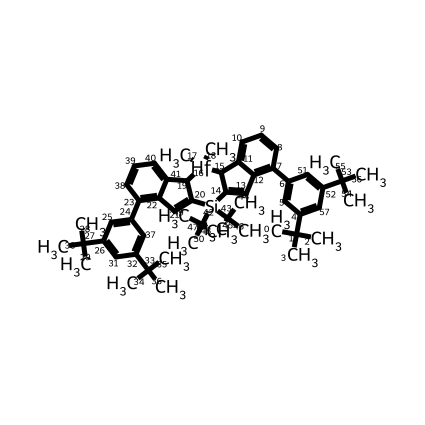 CC(C)(C)c1cc(-c2cccc3c2C=C2[CH]3[Hf]([CH3])([CH3])[CH]3C(=Cc4c(-c5cc(C(C)(C)C)cc(C(C)(C)C)c5)cccc43)[Si]2(C(C)(C)C)C(C)(C)C)cc(C(C)(C)C)c1